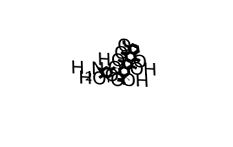 COc1cccc2c1C(=O)c1c(O)c3c(c(O)c1C2=O)C[C@@](O)(C(C)=O)C[C@@H]3OC1CC(N)C(O)[C@H](C)O1